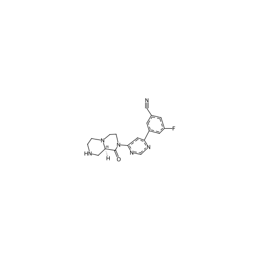 N#Cc1cc(F)cc(-c2cc(N3CCN4CCNC[C@@H]4C3=O)ncn2)c1